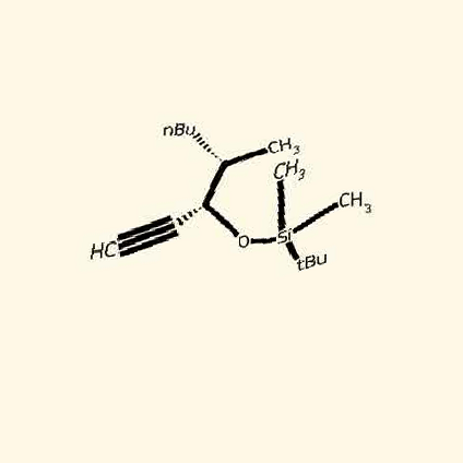 C#C[C@@H](O[Si](C)(C)C(C)(C)C)[C@@H](C)CCCC